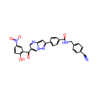 N#Cc1ccc(CNC(=O)c2ccc(-c3cc4ncc(C(=O)c5cc([N+](=O)[O-])ccc5O)cn4n3)cc2)cc1